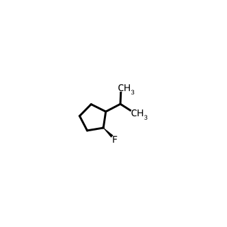 CC(C)C1CCC[C@@H]1F